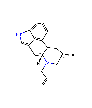 C=CCN1C[C@H](C=O)CC2c3cccc4[nH]cc(c34)C[C@H]21